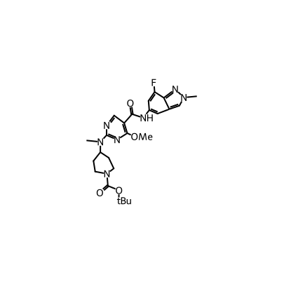 COc1nc(N(C)C2CCN(C(=O)OC(C)(C)C)CC2)ncc1C(=O)Nc1cc(F)c2nn(C)cc2c1